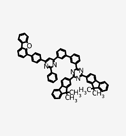 CC1(C)c2ccccc2-c2ccc(-c3nc(-c4cccc(-c5cccc(-c6cc(-c7ccc(-c8cccc9c8oc8ccccc89)cc7)nc(-c7ccccc7)n6)c5)c4)nc(-c4ccc5c(c4)C(C)(C)c4ccccc4-5)n3)cc21